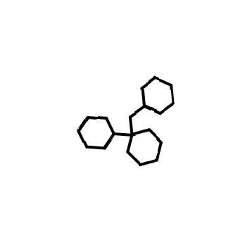 C1CC[C](C2(CC3CCCCC3)CCCCC2)CC1